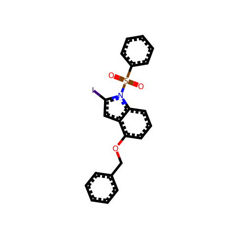 O=S(=O)(c1ccccc1)n1c(I)cc2c(OCc3ccccc3)cccc21